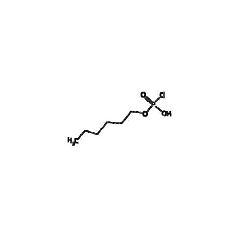 CCCCCCOP(=O)(O)Cl